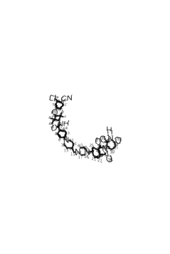 CC1(C)C(NC(=O)c2ccc(N3CCC(CN4CCN(c5ccc6c(c5)C(=O)N(C5CCC(=O)NC5=O)C6=O)CC4)CC3)cc2)C(C)(C)C1Oc1ccc(C#N)c(Cl)c1